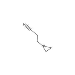 N#CCC[N+]1CC1